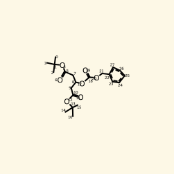 CC(C)(C)OC(=O)CC(CC(=O)OC(C)(C)C)OC(=O)OCc1ccccc1